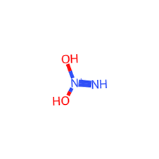 N=[N+](O)O